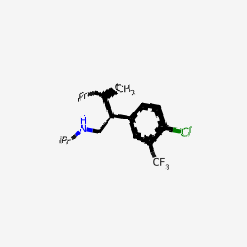 C=C(C(C)C)[C@H](CNC(C)C)c1ccc(Cl)c(C(F)(F)F)c1